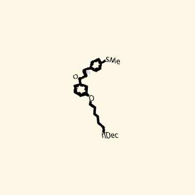 CCCCCCCCCCCCCCCCOc1cccc(C(=O)/C=C/c2ccc(SC)cc2)c1